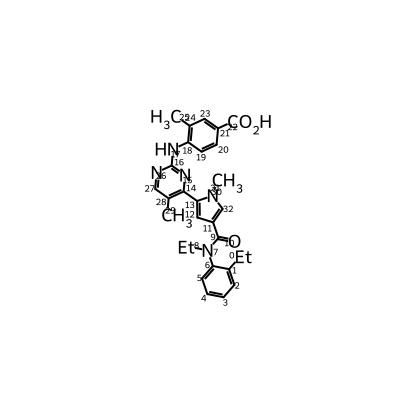 CCc1ccccc1N(CC)C(=O)c1cc(-c2nc(Nc3ccc(C(=O)O)cc3C)ncc2C)n(C)c1